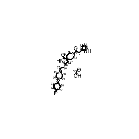 O=C(Cc1nnn[nH]1)N1CCC2(CC1)C[C@H](CCN1CCN(c3ccc(F)cc3)CC1)NC2=O.O=CO